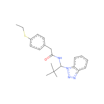 CCSc1ccc(CC(=O)NC(n2nnc3ccccc32)C(C)(C)C)cc1